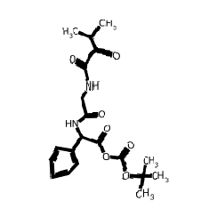 CC(C)C(=O)C(=O)NCC(=O)NC(C(=O)OC(=O)OC(C)(C)C)c1ccccc1